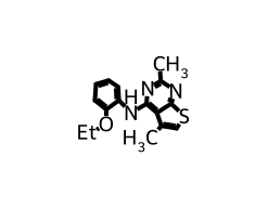 CCOc1ccccc1Nc1nc(C)nc2scc(C)c12